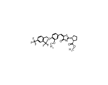 COC(=O)[C@@H]1CCCN1C1=NC(=O)C(=Cc2ccc(OCc3ccc(C(F)(F)F)cc3C(F)(F)F)c(OC)c2)S1